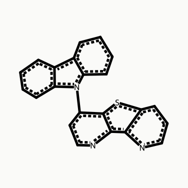 c1cnc2c(c1)sc1c(-n3c4ccccc4c4ccccc43)ccnc12